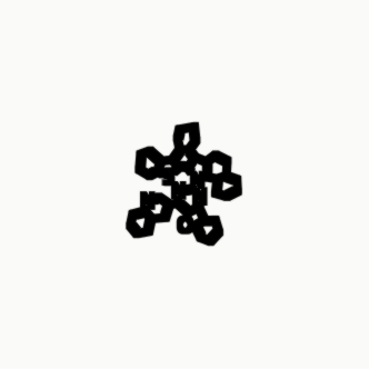 c1ccc2ncc(-c3nc(-n4c5c6ccccc6ccc5c5c6ccccc6c6c7ccccc7sc6c54)nc4c3oc3ccccc34)cc2c1